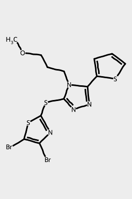 COCCCn1c(Sc2nc(Br)c(Br)s2)nnc1-c1cccs1